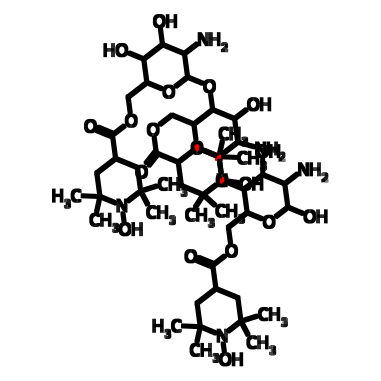 CC1(C)CC(C(=O)OCC2OC(OC3C(COC(=O)C4CC(C)(C)N(O)C(C)(C)C4)OC(OC4C(COC(=O)C5CC(C)(C)N(O)C(C)(C)C5)OC(O)C(N)C4O)C(N)C3O)C(N)C(O)C2O)CC(C)(C)N1O